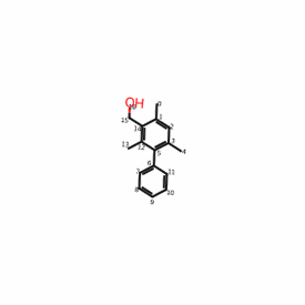 Cc1cc(C)c(-c2ccccc2)c(C)c1CO